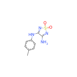 Cc1ccc(NC2=NS(=O)(=O)N=C2N)cc1